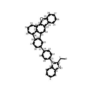 CCc1nc2ccccc2n1-c1ccc(-c2ccc3c(c2)-c2cc4c5ccccc5oc4c4cccc-3c24)cc1